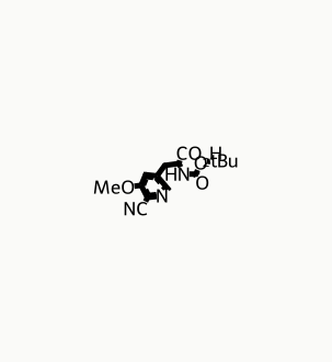 COc1cc(CC(NC(=O)OC(C)(C)C)C(=O)O)cnc1C#N